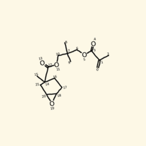 C=C(C)C(=O)OCC(C)(C)COC(=O)C1(C)CCC2OC2C1